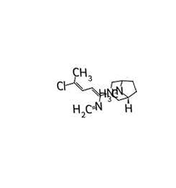 C=N/C(=C\C=C(/C)Cl)N1CC2CC[C@H](C1)N2C